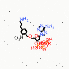 NCCCc1ccc(COC[C@H]2O[C@@H](n3cnc4c(N)ncnc43)C[C@@H]2OP(=O)(O)OP(=O)(O)OP(=O)(O)O)c([N+](=O)[O-])c1